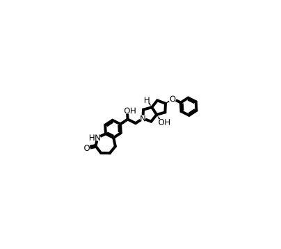 O=C1CCCc2cc(C(O)CN3C[C@H]4C[C@H](Oc5ccccc5)C[C@@]4(O)C3)ccc2N1